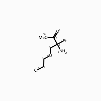 CCC(N)(COCCCl)C(=O)OC